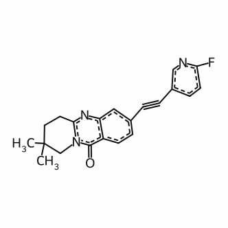 CC1(C)CCc2nc3cc(C#Cc4ccc(F)nc4)ccc3c(=O)n2C1